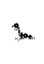 Nc1nc2cc(-c3cc[nH]n3)ccc2c2cn(CCNCc3cccc(F)c3)nc12